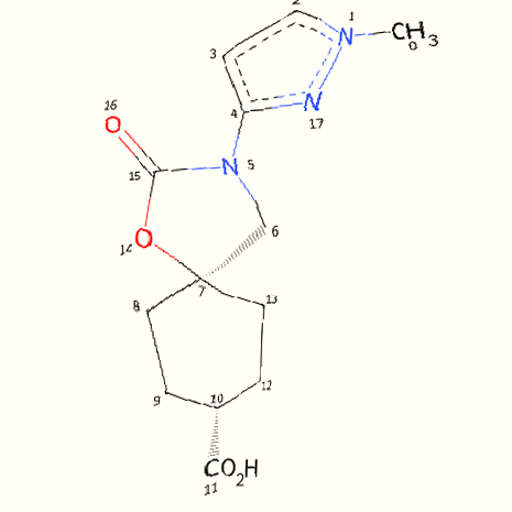 Cn1ccc(N2C[C@]3(CC[C@@H](C(=O)O)CC3)OC2=O)n1